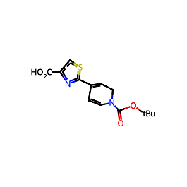 CC(C)(C)OC(=O)N1C=CC(c2nc(C(=O)O)cs2)=CC1